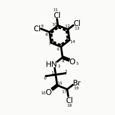 CC(C)(NC(=O)c1cc(Cl)c(Cl)c(Cl)c1)C(=O)C(Cl)Br